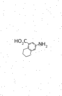 Nc1cc2c(c(C(=O)O)c1)CCCC2